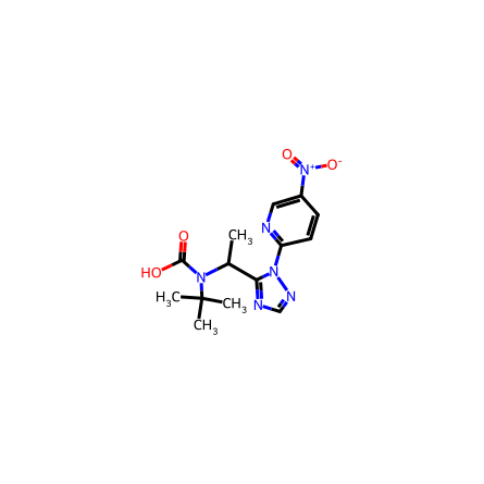 CC(c1ncnn1-c1ccc([N+](=O)[O-])cn1)N(C(=O)O)C(C)(C)C